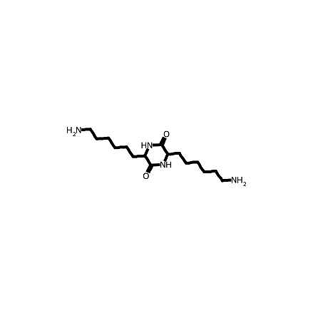 NCCCCCCC1NC(=O)C(CCCCCCN)NC1=O